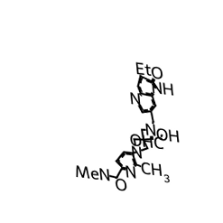 CCc1cc2ncc(CN3CC4(C3)CN(c3ccc(C(=O)NC)nc3C)C4)cc2[nH]c1=O.O=CO